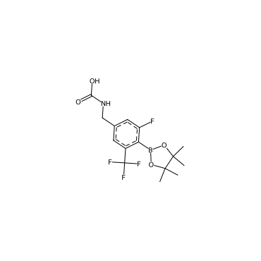 CC1(C)OB(c2c(F)cc(CNC(=O)O)cc2C(F)(F)F)OC1(C)C